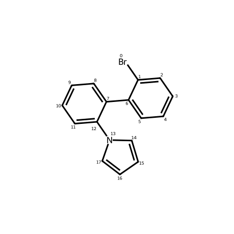 Brc1ccccc1-c1ccccc1-n1cccc1